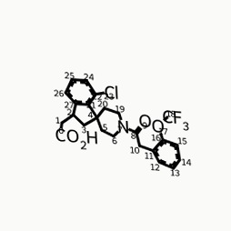 O=C(O)CC1CC2(CCN(C(=O)Cc3ccccc3OC(F)(F)F)CC2)c2c(Cl)cccc21